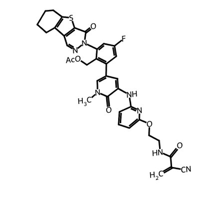 C=C(C#N)C(=O)NCCOc1cccc(Nc2cc(-c3cc(F)cc(-n4ncc5c6c(sc5c4=O)CCCC6)c3COC(C)=O)cn(C)c2=O)n1